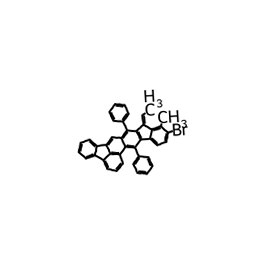 C/C=c1\c2c(C)c(Br)ccc2c2c(-c3ccccc3)c3c(cc4c5ccccc5c5cccc3c54)c(-c3ccccc3)c12